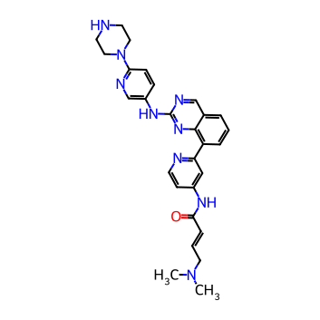 CN(C)C/C=C/C(=O)Nc1ccnc(-c2cccc3cnc(Nc4ccc(N5CCNCC5)nc4)nc23)c1